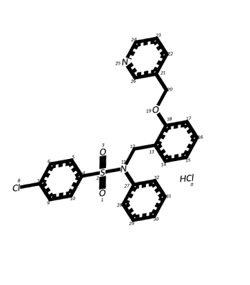 Cl.O=S(=O)(c1ccc(Cl)cc1)N(Cc1ccccc1OCc1cccnc1)c1ccccc1